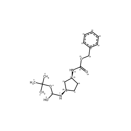 CC(C)(C)OC(O)N[C@@H]1CC[C@H](NC(=O)OCc2ccccc2)C1